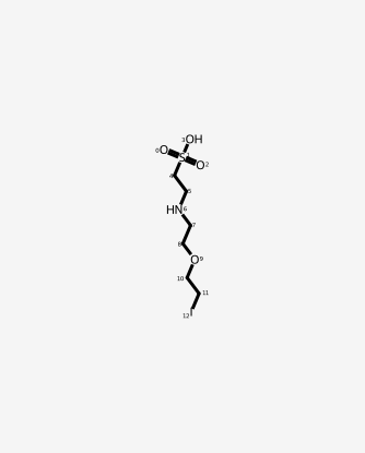 O=S(=O)(O)CCNCCOCCI